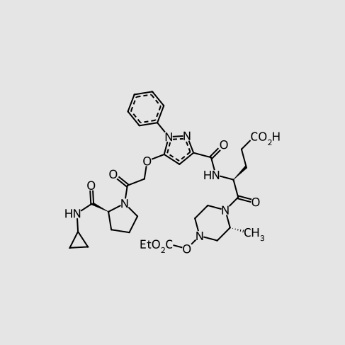 CCOC(=O)ON1CCN(C(=O)[C@H](CCC(=O)O)NC(=O)c2cc(OCC(=O)N3CCC[C@H]3C(=O)NC3CC3)n(-c3ccccc3)n2)[C@H](C)C1